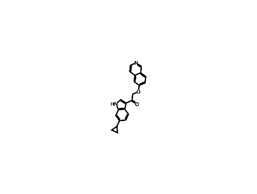 O=C(COc1ccc2cnccc2c1)c1c[nH]c2cc(C3CC3)ccc12